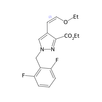 CCO/C=C\c1cn(Cc2c(F)cccc2F)nc1C(=O)OCC